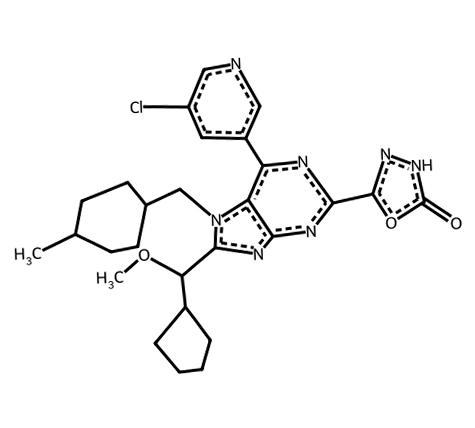 COC(c1nc2nc(-c3n[nH]c(=O)o3)nc(-c3cncc(Cl)c3)c2n1CC1CCC(C)CC1)C1CCCC1